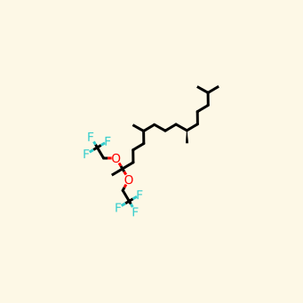 CC(C)CCC[C@@H](C)CCCC(C)CCCC(C)(OCC(F)(F)F)OCC(F)(F)F